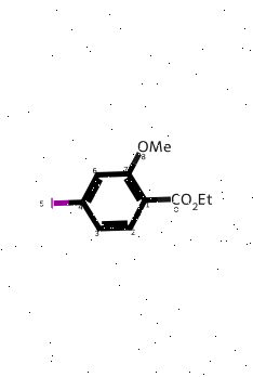 CCOC(=O)c1ccc(I)cc1OC